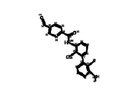 CNc1cccc(-c2cccc(NC(=O)c3ccc(C=O)cn3)c2Cl)c1C